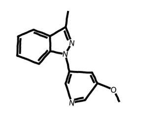 COc1cncc(-n2nc(C)c3ccccc32)c1